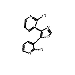 Clc1ncccc1-c1ncoc1-c1cccnc1Cl